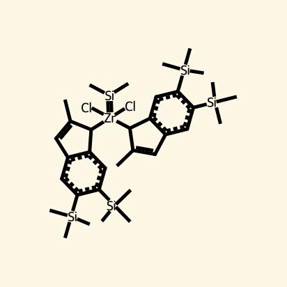 CC1=Cc2cc([Si](C)(C)C)c([Si](C)(C)C)cc2[CH]1[Zr]([Cl])([Cl])([CH]1C(C)=Cc2cc([Si](C)(C)C)c([Si](C)(C)C)cc21)=[Si](C)C